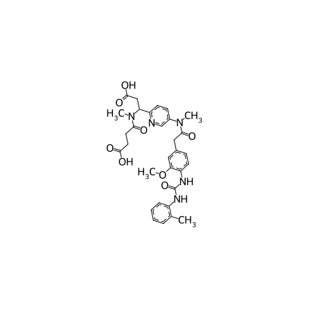 COc1cc(CC(=O)N(C)c2ccc(C(CC(=O)O)N(C)C(=O)CCC(=O)O)nc2)ccc1NC(=O)Nc1ccccc1C